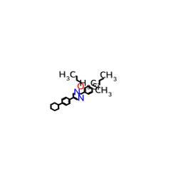 CCCCOc1cc([Si](C)(C)CCCC)ccc1-c1ncc(-c2ccc(C3CCCCC3)cc2)cn1